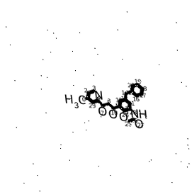 Cc1ccnc(C(=O)CC(=O)c2cc(Cc3ccccc3)cc3c2OCC(=O)N3)c1